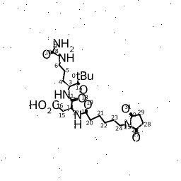 CC(C)(C)C(=O)[C@H](CCCNC(N)=O)NC(=O)[C@H](CC(=O)O)NC(=O)CCCCCN1C(=O)CCC1=O